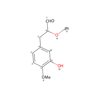 COc1ccc(CC(C=O)OC(C)C)cc1O